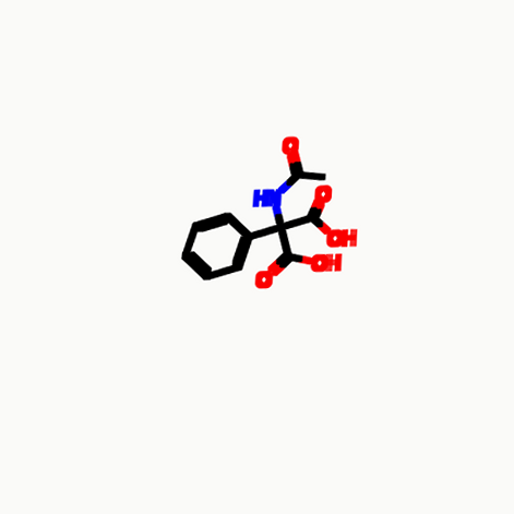 CC(=O)NC(C(=O)O)(C(=O)O)c1ccccc1